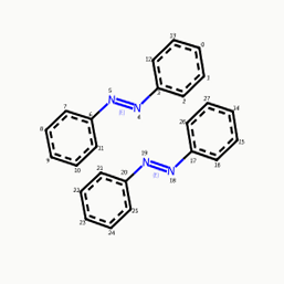 c1ccc(/N=N/c2ccccc2)cc1.c1ccc(/N=N/c2ccccc2)cc1